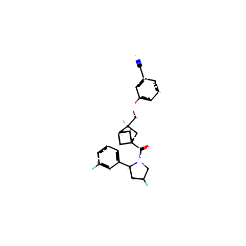 N#Cc1cccc(OC[C@@H]2CC3(C(=O)N4CC(F)CC4c4cccc(F)c4)CC2C3)c1